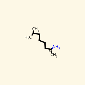 CC(C)CCCC[C@H](C)N